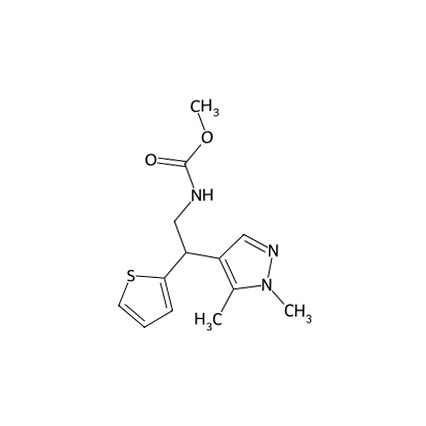 COC(=O)NCC(c1cccs1)c1cnn(C)c1C